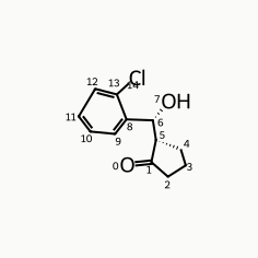 O=C1CCC[C@H]1[C@@H](O)c1ccccc1Cl